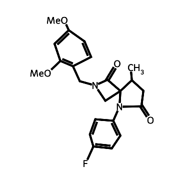 COc1ccc(CN2CC3(C2=O)C(C)CC(=O)N3c2ccc(F)cc2)c(OC)c1